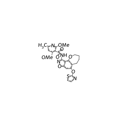 COc1cc(C)nc(OC)c1S(=O)(=O)Nc1noc2cc(Oc3nccs3)c3c(c12)OCCCC3